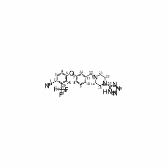 N#Cc1ccc(Oc2cccc(CN3CCN(c4nnn[nH]4)CC3)c2)cc1C(F)(F)F